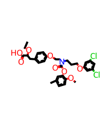 CCOC(Cc1ccc(OCCN(CCCOc2cc(Cl)cc(Cl)c2)C(=O)Oc2cc(C)ccc2OC)cc1)C(=O)O